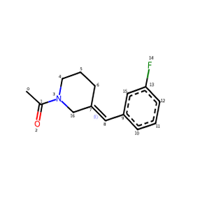 CC(=O)N1CCC/C(=C\c2cccc(F)c2)C1